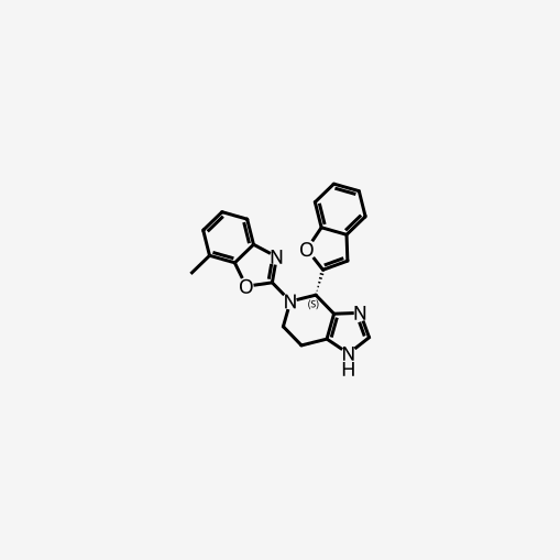 Cc1cccc2nc(N3CCc4[nH]cnc4[C@H]3c3cc4ccccc4o3)oc12